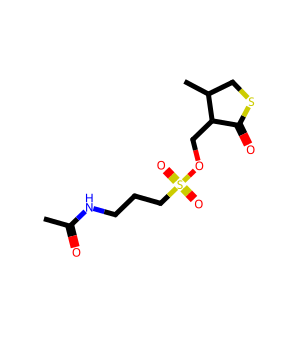 CC(=O)NCCCS(=O)(=O)OCC1C(=O)SCC1C